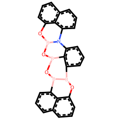 c1cc2c3c(c1)N1B(OB3OB3B2Oc2cccc4cccc3c24)Oc2cccc3cccc1c23